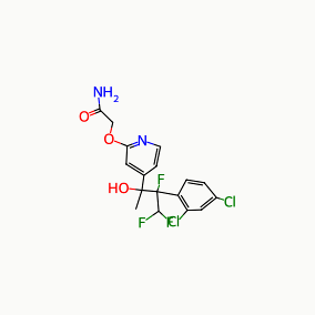 CC(O)(c1ccnc(OCC(N)=O)c1)C(F)(c1ccc(Cl)cc1Cl)C(F)F